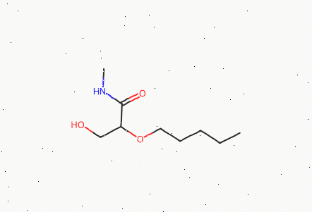 CCCCCOC(CO)C(=O)NC